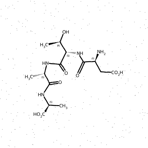 C[C@H](NC(=O)[C@H](C)NC(=O)[C@@H](NC(=O)[C@@H](N)CC(=O)O)[C@@H](C)O)C(=O)O